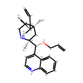 C=CCO[C@H](c1ccnc2ccccc12)[C@@H]1C[C@@H]2CCN1C[C@@H]2C=C